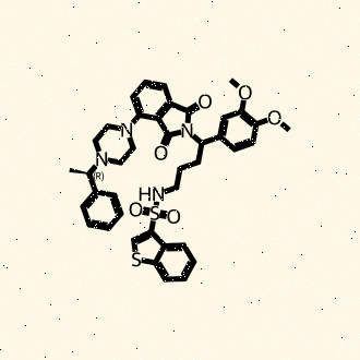 COc1ccc(C(CCCNS(=O)(=O)c2csc3ccccc23)N2C(=O)c3cccc(N4CCN([C@H](C)c5ccccc5)CC4)c3C2=O)cc1OC